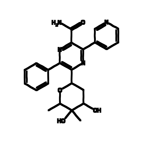 CC1OC(c2nc(-c3cccnc3)c(C(N)=O)nc2-c2ccccc2)CC(O)C1(C)O